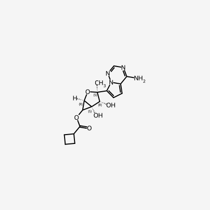 C[C@@]1(c2ccc3c(N)ncnn23)O[C@@H]2C(OC(=O)C3CCC3)[C@]2(O)[C@H]1O